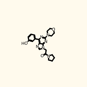 O=C(Cn1cnc2c(-c3cccc(O)c3)nc(N3CCOCC3)nc21)N1CCCC1